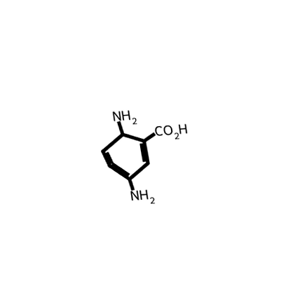 NC1=C=CC(N)C(C(=O)O)=C1